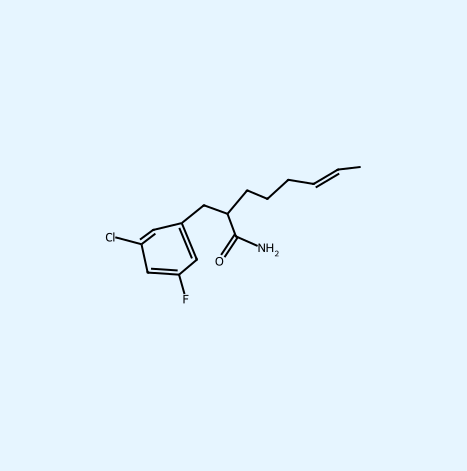 C/C=C/CCCC(Cc1cc(F)cc(Cl)c1)C(N)=O